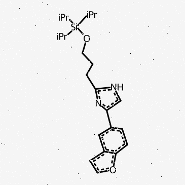 CC(C)[Si](OCCCc1nc(-c2ccc3occc3c2)c[nH]1)(C(C)C)C(C)C